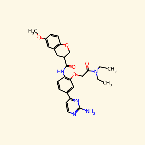 CCN(CC)C(=O)COc1cc(-c2ccnc(N)n2)ccc1NC(=O)C1COc2ccc(OC)cc2C1